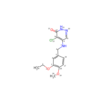 CCOc1cc(CNc2cn[nH]c(=O)c2Cl)ccc1OC